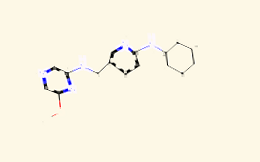 COc1cncc(NCc2ccc(NC3CCCCC3)nc2)n1